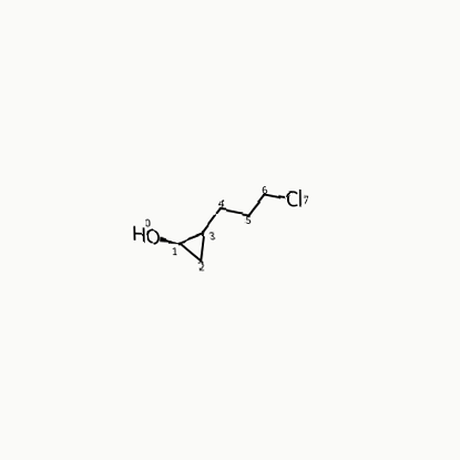 O[C@@H]1CC1CCCCl